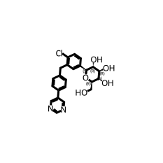 OC[C@H]1O[C@@H](c2ccc(Cl)c(Cc3ccc(-c4cncnc4)cc3)c2)[C@H](O)[C@@H](O)[C@@H]1O